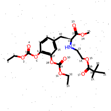 CCOC(=O)Oc1ccc(C[C@H](NCCOC(=O)C(C)(C)C)C(=O)OC)cc1OC(=O)OCC